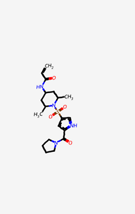 C=CC(=O)NC1CC(C)N(S(=O)(=O)c2c[nH]c(C(=O)N3CCCC3)c2)C(C)C1